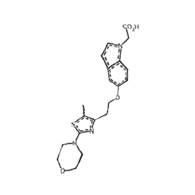 Cc1sc(N2CCOCC2)nc1CCOc1ccc2c(ccn2CC(=O)O)c1